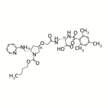 CCCCOC(=O)N1C[C@H](OCC(=O)NC[C@H](NS(=O)(=O)c2c(C)cc(C)cc2C)C(=O)O)C[C@H]1CNc1ccccn1